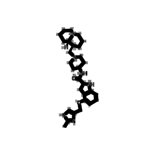 Cc1nc(COc2cccc3c2CC(C(=O)NC2CCN(C[C@@H]4CCCN5CCCC[C@H]45)CC2)N3)cs1